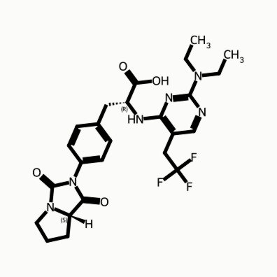 CCN(CC)c1ncc(CC(F)(F)F)c(N[C@H](Cc2ccc(N3C(=O)[C@@H]4CCCN4C3=O)cc2)C(=O)O)n1